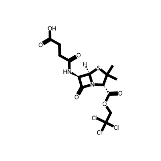 CC1(C)S[C@@H]2[C@H](NC(=O)CCC(=O)O)C(=O)N2[C@H]1C(=O)OCC(Cl)(Cl)Cl